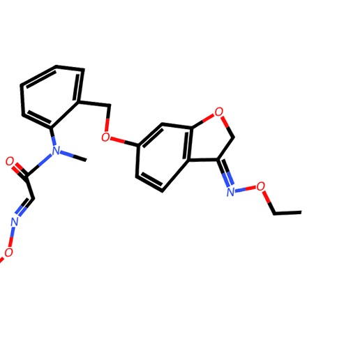 CCON=C1COc2cc(OCc3ccccc3N(C)C(=O)C=NOC)ccc21